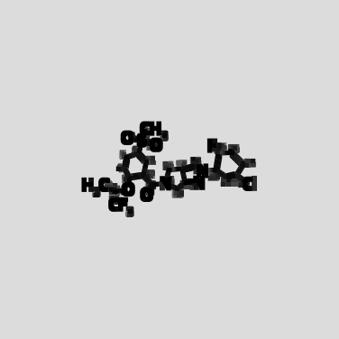 C[C@H](Oc1ccc(S(C)(=O)=O)cc1C(=O)N1Cc2cn(-c3cc(Cl)ccc3F)nc2C1)C(F)(F)F